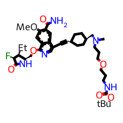 CC[C@@H]1[C@H](F)C(=O)N[C@@H]1COc1ncc(C#C[C@H]2CC[C@H](CN(C)CCCOCCCNC(=O)OC(C)(C)C)CC2)c2cc(C(N)=O)c(OC)cc12